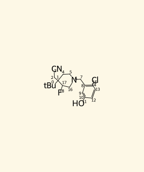 CC(C)(C)C1(CC#N)CCN(Cc2cc(O)ccc2Cl)CC1F